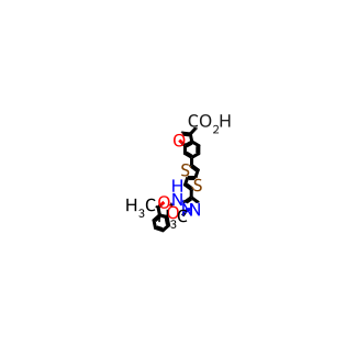 C[C@@H](OC(=O)Nc1c(-c2cc3sc(-c4ccc5c(CC(=O)O)coc5c4)cc3s2)cnn1C)c1ccccc1